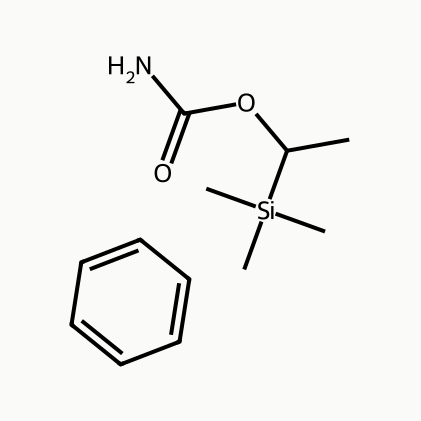 CC(OC(N)=O)[Si](C)(C)C.c1ccccc1